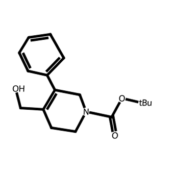 CC(C)(C)OC(=O)N1CCC(CO)=C(c2ccccc2)C1